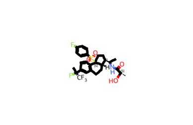 CC(NC(=O)[C@H](C)O)[C@@H]1CC[C@@]2(S(=O)(=O)c3ccc(F)cc3)c3ccc(C(C)(F)C(F)(F)F)cc3CC[C@@H]12